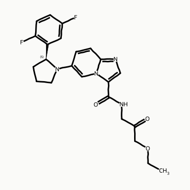 CCOCC(=O)CNC(=O)c1cnc2ccc(N3CCC[C@H]3c3cc(F)ccc3F)cn12